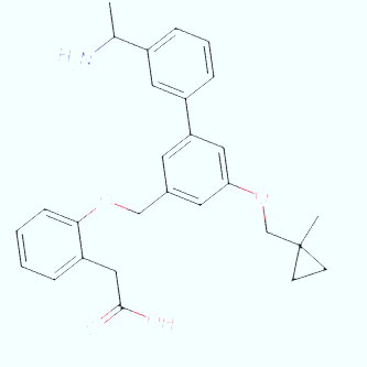 CC(N)c1cccc(-c2cc(COc3ccccc3CC(=O)O)cc(OCC3(C)CC3)c2)c1